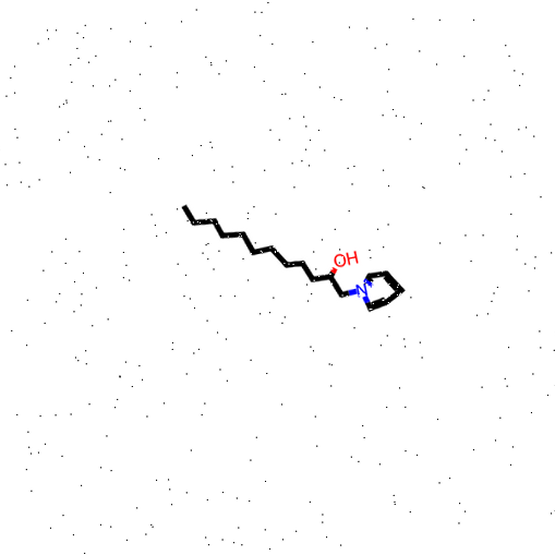 CCCCCCCCCCC(O)C[n+]1ccccc1